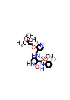 COc1c(F)cccc1NC(=S)C1=C(NCc2ccncc2OCCC(C)(C)OC)CCNC1=O